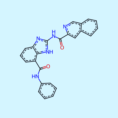 O=C(Nc1nc2cccc(C(=O)Nc3ccccc3)c2[nH]1)c1cc2ccccc2cn1